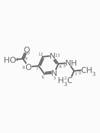 CC(C)Nc1ncc(OC(=O)O)cn1